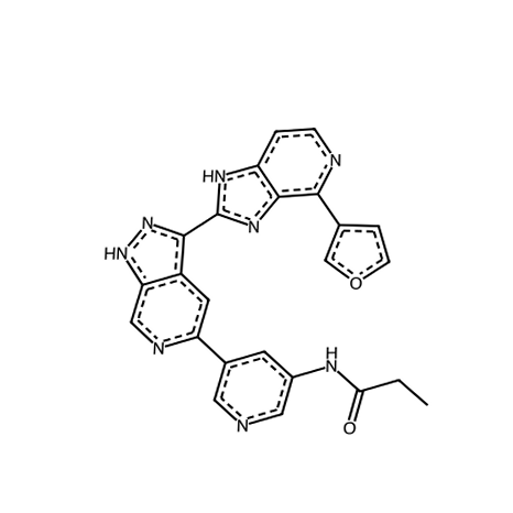 CCC(=O)Nc1cncc(-c2cc3c(-c4nc5c(-c6ccoc6)nccc5[nH]4)n[nH]c3cn2)c1